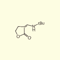 CC(C)(C)NC=C1CCOC1=O